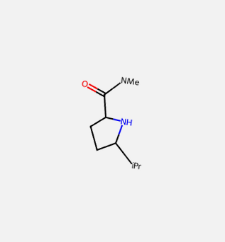 CNC(=O)C1CCC(C(C)C)N1